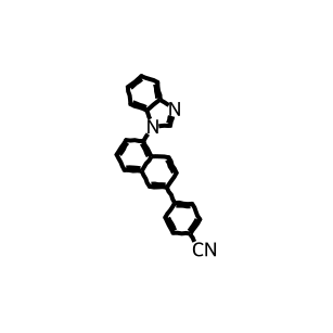 N#Cc1ccc(-c2ccc3c(-n4cnc5ccccc54)cccc3c2)cc1